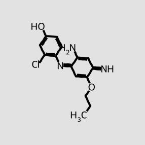 CCCOC1=C/C(=N/c2ccc(O)cc2Cl)C(N)=CC1=N